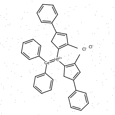 CC1=[C]([Hf+2]([C]2=C(C)C=C(c3ccccc3)C2)=[Ge]([c]2ccccc2)[c]2ccccc2)CC(c2ccccc2)=C1.[Cl-].[Cl-]